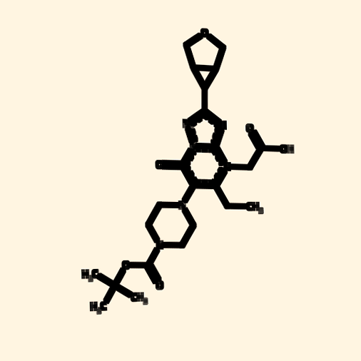 CCc1c(N2CCN(C(=O)OC(C)(C)C)CC2)c(=O)n2nc(C3C4COCC43)nc2n1CC(=O)O